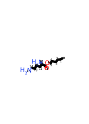 CCCCCCOC(=O)C(N)CCCCN